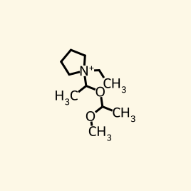 CC[N+]1(C(C)OC(C)OC)CCCC1